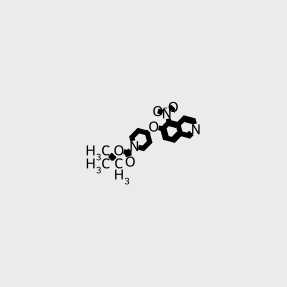 CC(C)(C)OC(=O)N1CCC(Oc2ccc3cnccc3c2[N+](=O)[O-])CC1